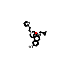 Oc1ccc2c(c1)C13CCN(CCn4cccn4)CCC1(O)C(C2)N(CC1CC1)CC3